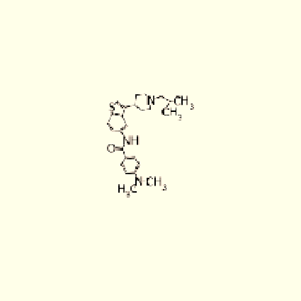 CC(C)CN1CCC(c2csc3ccc(NC(=O)c4ccc(N(C)C)cc4)cc23)CC1